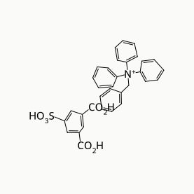 O=C(O)c1cc(C(=O)O)cc(S(=O)(=O)O)c1.c1ccc(C[N+](c2ccccc2)(c2ccccc2)c2ccccc2)cc1